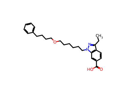 CCc1nn(CCCCCCOCCCCc2ccccc2)c2cc(C(=O)O)ccc12